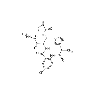 CNC(=O)C(=O)C(C[C@@H]1CCNC1=O)NC(=O)c1cc(Cl)ccc1NC(=O)C(C)c1cscn1